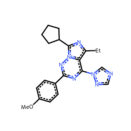 CCc1nc(C2CCCC2)n2nc(-c3ccc(OC)cc3)nc(-n3cncn3)c12